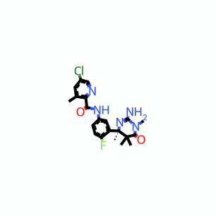 Cc1cc(Cl)cnc1C(=O)Nc1ccc(F)c([C@@]2(C)N=C(N)N(C)C(=O)C2(C)C)c1